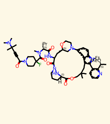 CCn1c(-c2cccnc2[C@H](C)OC)c2c3cc(ccc31)N1CCO[C@@](C)(CC(NC(=O)[C@H](C(C)C)N(C)C(=O)C3(F)CCN(C(=O)C#CC(C)(C)N(C)C)CC3)C(=O)N3CCC[C@H](N3)C(=O)OCC(C)(C)C2)C1